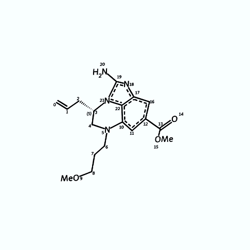 C=CC[C@H]1CN(CCCOC)c2cc(C(=O)OC)cc3nc(N)n1c23